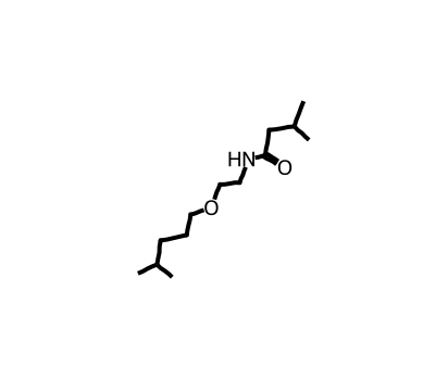 CC(C)CCCOCCNC(=O)CC(C)C